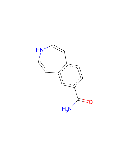 NC(=O)c1ccc2c(c1)C=CNC=C2